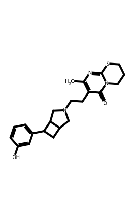 Cc1nc2n(c(=O)c1CCN1CC3CC(c4cccc(O)c4)C3C1)CCCS2